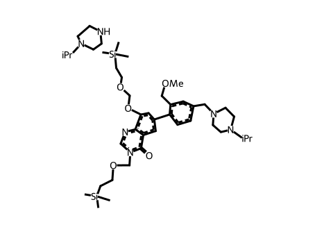 CC(C)N1CCNCC1.COCc1cc(CN2CCN(C(C)C)CC2)ccc1-c1cc(OCOCC[Si](C)(C)C)c2ncn(COCC[Si](C)(C)C)c(=O)c2c1